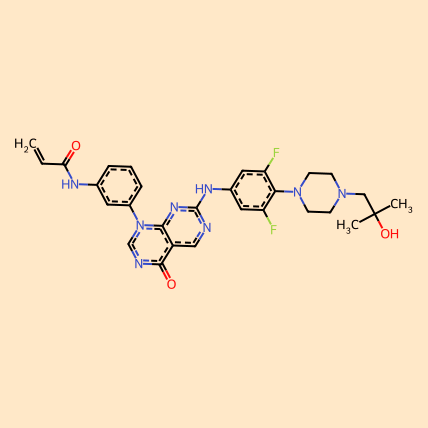 C=CC(=O)Nc1cccc(-n2cnc(=O)c3cnc(Nc4cc(F)c(N5CCN(CC(C)(C)O)CC5)c(F)c4)nc32)c1